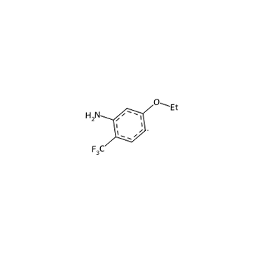 CCOc1[c]cc(C(F)(F)F)c(N)c1